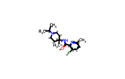 Cc1ccc(F)c(C(=O)NC2(C)CCN(C(C)C)CC2)n1